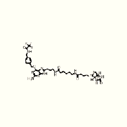 Nc1nc(OCc2ccc(CNC(=O)C(F)(F)F)cc2)c2nc(CCCNC(=O)CCCCCNC(=O)CCCC[C@@H]3SC[C@@H]4NC(=O)N[C@@H]43)[nH]c2n1